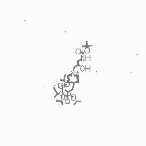 CC(C)OP(=O)(OC(C)C)C(Cc1cc[n+](CC(O)CNC(=O)OC(C)(C)C)cc1)P(=O)(OC(C)C)OC(C)C